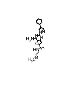 COCCNC(=O)c1cc2nc(-n3cc(-c4ccccc4)cn3)nc(N)c2o1